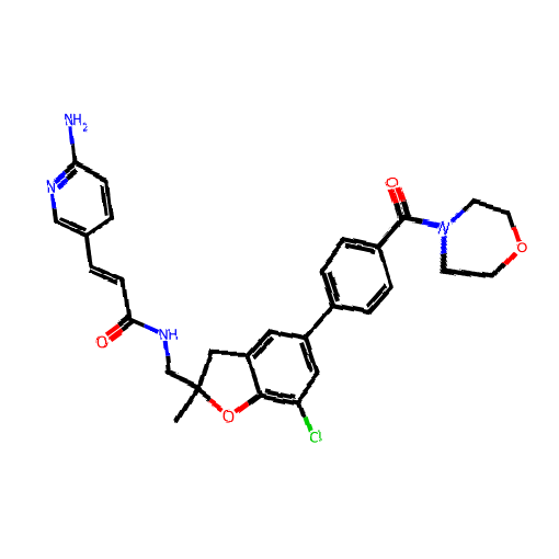 CC1(CNC(=O)C=Cc2ccc(N)nc2)Cc2cc(-c3ccc(C(=O)N4CCOCC4)cc3)cc(Cl)c2O1